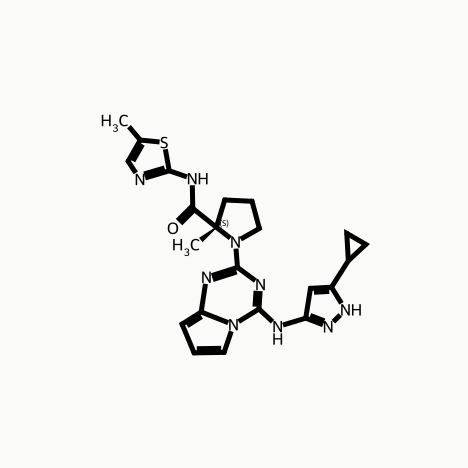 Cc1cnc(NC(=O)[C@]2(C)CCCN2c2nc(Nc3cc(C4CC4)[nH]n3)n3cccc3n2)s1